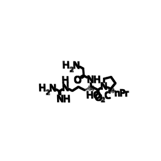 CCC[C@@]1(C(=O)O)CCCN1C(=O)[C@H](CCCNC(=N)N)NC(=O)CN